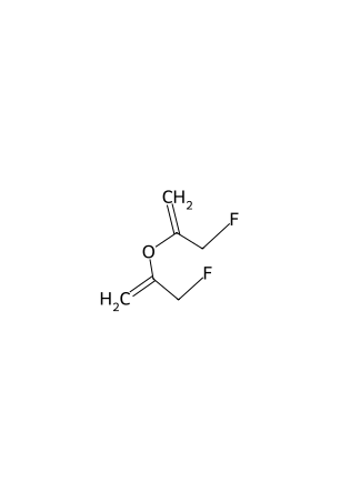 C=C(CF)OC(=C)CF